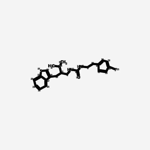 CN(C)C(CNC(=O)NCCc1ccc(F)cc1)Cc1csc2ccccc12